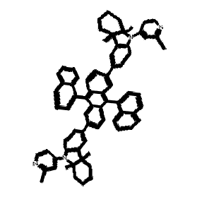 Cc1cc(N2c3ccc(-c4ccc5c(-c6cccc7ccccc67)c6cc(-c7ccc8c(c7)C7(C)CCCCC7(C)N8c7ccnc(C)c7)ccc6c(-c6cccc7ccccc67)c5c4)cc3C3(C)CCCCC23C)ccn1